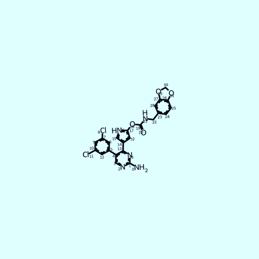 Nc1ncc(-c2cc(Cl)cc(Cl)c2)c(-c2c[nH]c(OC(=O)NCc3ccc4c(c3)OCO4)c2)n1